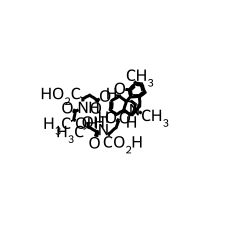 Cc1ccc2c3c1O[C@H]1C(OC(=O)C[C@H](NC(=O)[C@H](C)O)C(=O)O)=CC[C@@]4(OC(=O)C[C@H](NC(=O)[C@H](C)O)C(=O)O)[C@@H](C2)N(C)CC[C@]314